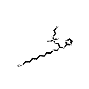 CCCCCCCCCCCCCCCCCCOC[C@@H](COP(=O)(O)OCCBr)Oc1nccs1